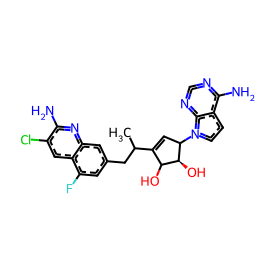 CC(Cc1cc(F)c2cc(Cl)c(N)nc2c1)C1=CC(n2ccc3c(N)ncnc32)[C@@H](O)C1O